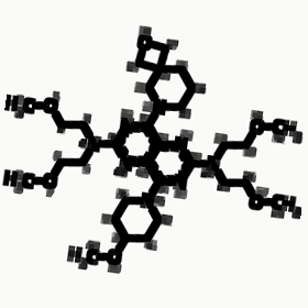 COCCN(CCOC)c1nc(N2CCCC3(COC3)C2)c2nc(N(CCOC)CCOC)nc(N3CCC(OC)CC3)c2n1